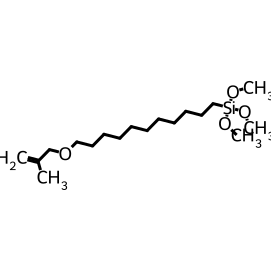 C=C(C)COCCCCCCCCCCC[Si](OC)(OC)OC